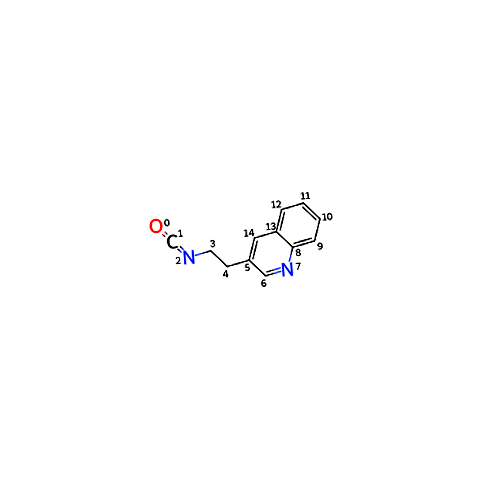 O=C=NCCc1cnc2ccccc2c1